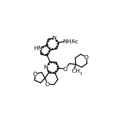 CC(=O)Nc1cc2c(-c3cc(OCC4(C)CCOCC4)c4c(n3)C3(CCOC3)OCC4)c[nH]c2cn1